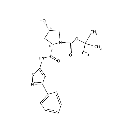 CC(C)(C)OC(=O)N1C[C@@H](O)C[C@H]1C(=O)Nc1nc(-c2ccccc2)ns1